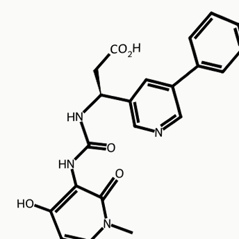 Cn1ccc(O)c(NC(=O)N[C@@H](CC(=O)O)c2cncc(-c3ccccc3)c2)c1=O